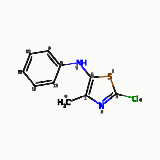 Cc1nc(Cl)sc1Nc1ccccc1